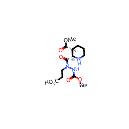 COC(=O)[C@@H]1CCCN[C@@H]1C(=O)N(CCC(=O)O)NC(=O)OC(C)(C)C